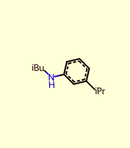 CCC(C)Nc1cccc(C(C)C)c1